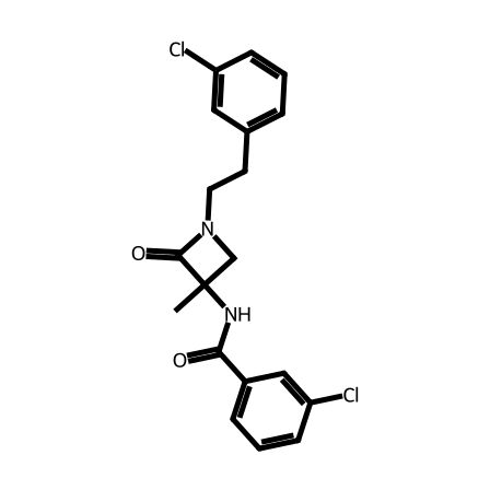 CC1(NC(=O)c2cccc(Cl)c2)CN(CCc2cccc(Cl)c2)C1=O